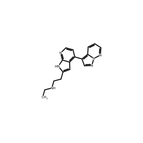 CCNCCc1cc2c(-c3cnn4ncccc34)ccnc2[nH]1